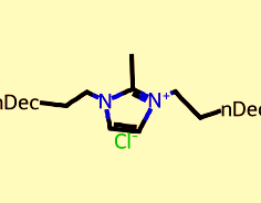 CCCCCCCCCCCCn1cc[n+](CCCCCCCCCCCC)c1C.[Cl-]